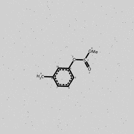 COS(=O)Oc1cccc(C)c1